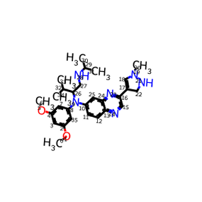 COc1cc(OC)cc(N(c2ccc3ncc(C4=CN(C)NC4)nc3c2)C(CNC(C)C)C(C)C)c1